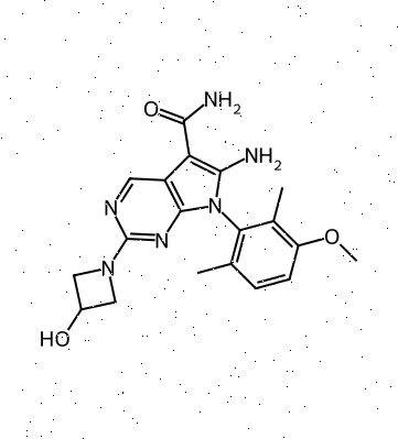 COc1ccc(C)c(-n2c(N)c(C(N)=O)c3cnc(N4CC(O)C4)nc32)c1C